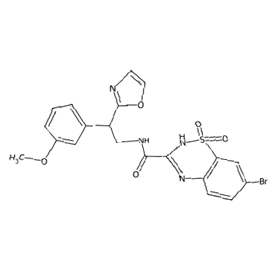 COc1cccc(C(CNC(=O)C2=Nc3ccc(Br)cc3S(=O)(=O)N2)c2ncco2)c1